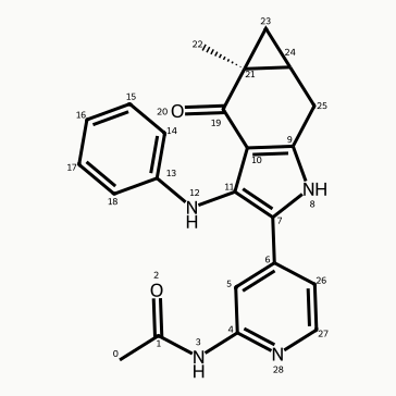 CC(=O)Nc1cc(-c2[nH]c3c(c2Nc2ccccc2)C(=O)[C@@]2(C)CC2C3)ccn1